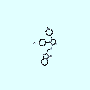 Fc1ccc(-c2cnc(SCc3nc4ccccc4[nH]3)n2-c2ccc(Cl)cc2)cc1